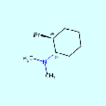 CC(C)[C@H]1CCCC[C@@H]1N(C)C